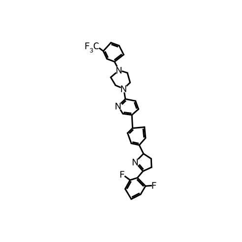 Fc1cccc(F)c1C1=NC(c2ccc(-c3ccc(N4CCN(c5cccc(C(F)(F)F)c5)CC4)nc3)cc2)CC1